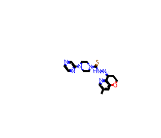 Cc1cnc2c(c1)OCC/C2=N/NC(=S)N1CCN(c2cnccn2)CC1